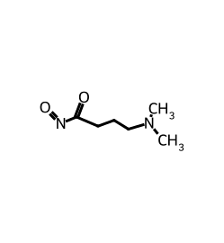 CN(C)CCCC(=O)N=O